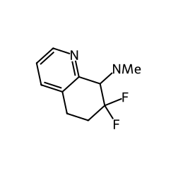 CNC1c2ncccc2CCC1(F)F